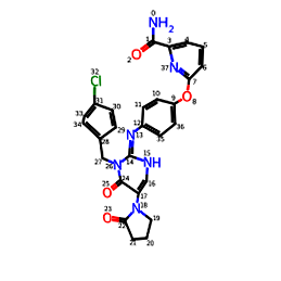 NC(=O)c1cccc(Oc2ccc(/N=c3\[nH]cc(N4CCCC4=O)c(=O)n3Cc3ccc(Cl)cc3)cc2)n1